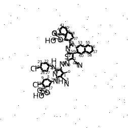 Cc1c(C#N)c(Nc2ccc(Cl)c(S(=O)(=O)O)c2)nc(Nc2ccc(Cl)cc2)c1N=Nc1sc(N=Nc2ccc3cccc(S(=O)(=O)O)c3c2)c(-c2ccc3ccccc3c2)c1C#N